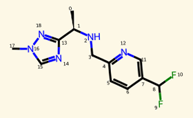 C[C@@H](NCc1ccc(C(F)F)cn1)c1ncn(C)n1